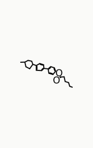 CCCCCC(=O)Oc1ccc(-c2ccc(C3CCC(C)CC3)cc2)cc1